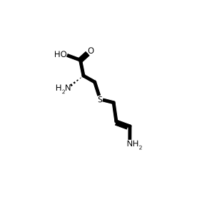 NC=CCSC[C@H](N)C(=O)O